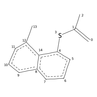 C=C(C)Sc1cccc2cccc(C)c12